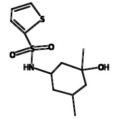 CC1CC(NS(=O)(=O)c2cccs2)CC(C)(O)C1